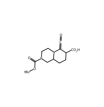 CC(C)(C)OC(=O)N1CCN2C(=C=O)C(C(=O)O)CCC2C1